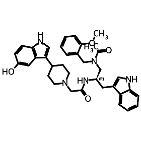 COc1ccccc1CN(C[C@@H](Cc1c[nH]c2ccccc12)NC(=O)CN1CCC(c2c[nH]c3ccc(O)cc23)CC1)C(C)=O